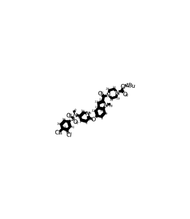 CN(c1ccc(Oc2ccc3c(c2)cc(C(=O)N2CCN(C(=O)OC(C)(C)C)CC2)n3C)nc1)S(=O)(=O)c1ccc(Cl)c(Cl)c1